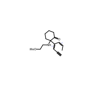 C#C/C=C(\C=C/C)C1(NCCOC)CCCCC1=O